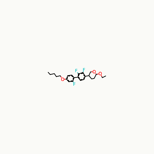 CCCCCOc1ccc(-c2ccc(C3CCC(OCC)OC3)c(F)c2F)c(F)c1